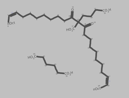 CCCCCCCC/C=C\CCCCCCCC(=O)C(CCCC(=O)O)(C(=O)O)C(=O)CCCCCCC/C=C\CCCCCCCC.O=C(O)CCCCC(=O)O